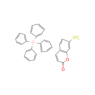 O=c1ccc2ccc([SH2+])cc2o1.c1ccc([B-](c2ccccc2)(c2ccccc2)c2ccccc2)cc1